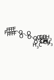 CCC(C)(C)CC(C)(C(=O)OCCOC(=O)CCC(=O)OCCC(F)(F)C(F)(F)C(F)(F)C(F)(F)F)C(C)(C)CC